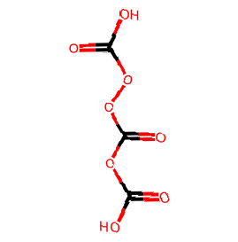 O=C(O)OOC(=O)OC(=O)O